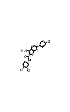 Nc1c(C(=O)Nc2ccc(Cl)c(Cl)c2)sc2nc(-c3ccc(Cl)cc3)ccc12